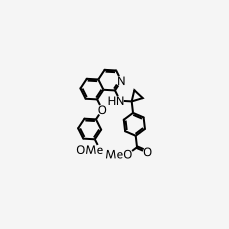 COC(=O)c1ccc(C2(Nc3nccc4cccc(Oc5cccc(OC)c5)c34)CC2)cc1